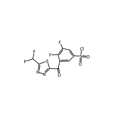 O=C(c1nnc(C(F)F)s1)c1cc(S(=O)(=O)Cl)cc(F)c1F